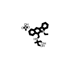 CCn1c2ccccc2c2cc3ccccc3c(CNC(C)(CO)CO)c21.CS(=O)(=O)O